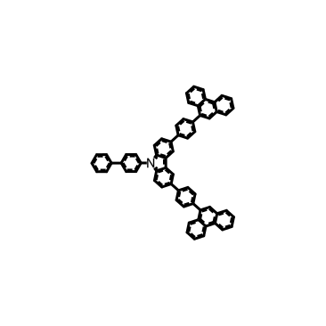 c1ccc(-c2ccc(-n3c4ccc(-c5ccc(-c6cc7ccccc7c7ccccc67)cc5)cc4c4cc(-c5ccc(-c6cc7ccccc7c7ccccc67)cc5)ccc43)cc2)cc1